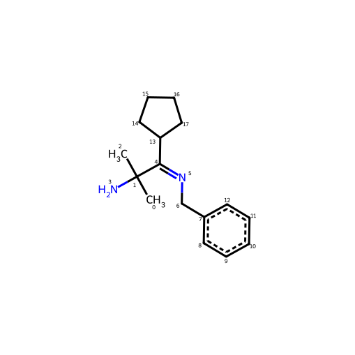 CC(C)(N)/C(=N\Cc1ccccc1)C1CCCC1